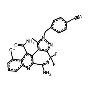 Cc1c(-c2c(C(N)=O)nc3cccc(O)c3c2C(N)=O)c(C(F)(F)F)nn1Cc1ccc(C#N)cc1